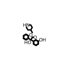 O=C(OCC1CCNCC1)[C@](O)(c1ccccc1)c1cccc(O)c1